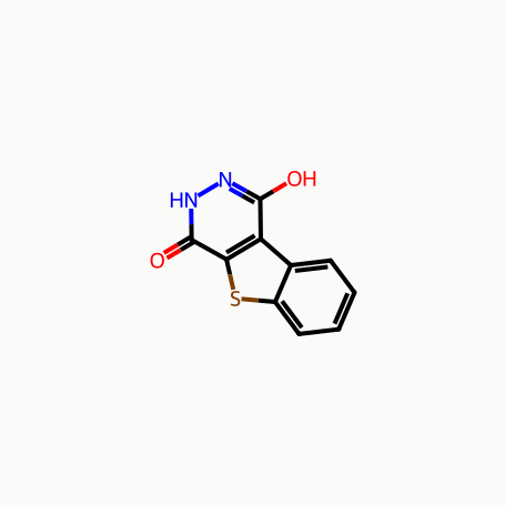 O=c1[nH]nc(O)c2c1sc1ccccc12